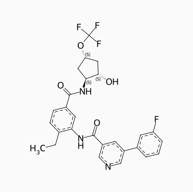 CCc1ccc(C(=O)N[C@H]2C[C@H](OC(F)(F)F)C[C@@H]2O)cc1NC(=O)c1cncc(-c2cccc(F)c2)c1